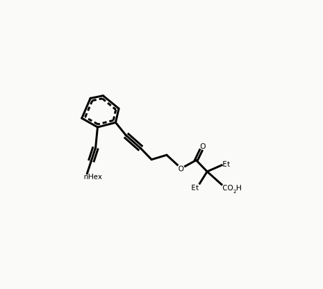 CCCCCCC#Cc1ccccc1C#CCCOC(=O)C(CC)(CC)C(=O)O